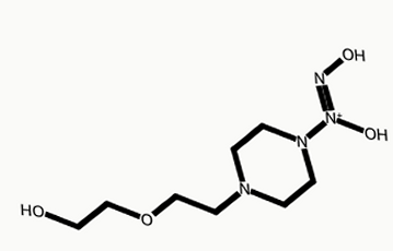 OCCOCCN1CCN(/[N+](O)=N/O)CC1